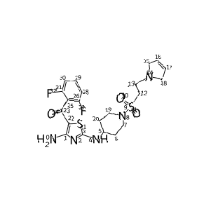 Nc1nc(NC2CCN(S(=O)(=O)CCN3CC=CC3)CC2)sc1C(=O)c1c(F)cccc1F